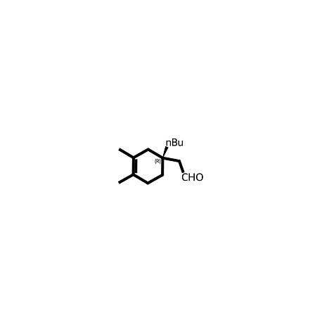 CCCC[C@@]1(CC=O)CCC(C)=C(C)C1